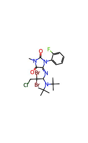 CN1C(=O)C(=NC(N(C(C)(C)C)C(C)(C)C)C(Br)(Br)CCl)N(c2ccccc2F)C1=O